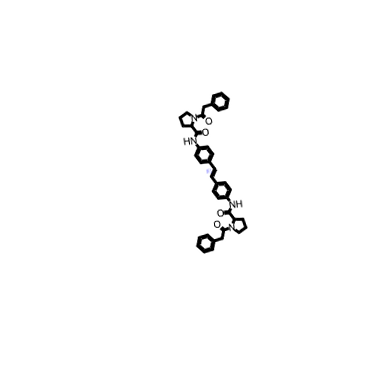 O=C(Nc1ccc(/C=C/c2ccc(NC(=O)C3CCCN3C(=O)Cc3ccccc3)cc2)cc1)C1CCCN1C(=O)Cc1ccccc1